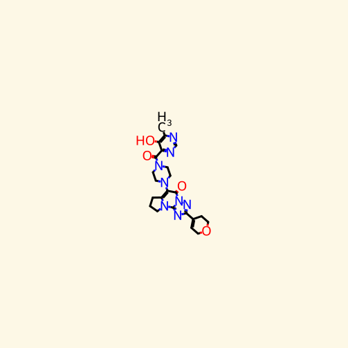 Cc1ncnc(C(=O)N2CCN(c3c4n(c5nc(C6=CCOCC6)nn5c3=O)CCC4)CC2)c1O